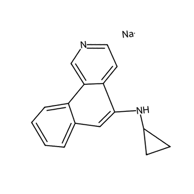 [Na].c1ccc2c(c1)cc(NC1CC1)c1ccncc12